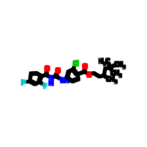 CC(CCOC(=O)c1ccc(NC(=O)NC(=O)c2ccc(F)cc2F)cc1Cl)CC(C)(C)C